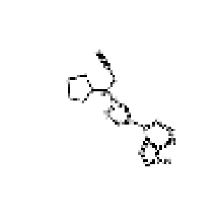 C#CC[C@H](C1CCCC1)n1cc(-c2ncnc3[nH]ccc23)cn1